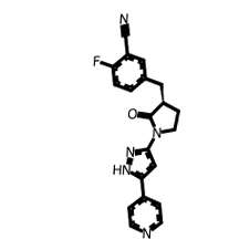 N#Cc1cc(C[C@H]2CCN(c3cc(-c4ccncc4)[nH]n3)C2=O)ccc1F